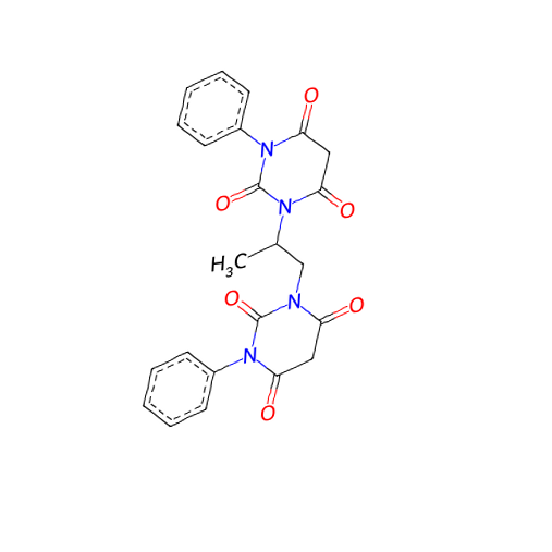 CC(CN1C(=O)CC(=O)N(c2ccccc2)C1=O)N1C(=O)CC(=O)N(c2ccccc2)C1=O